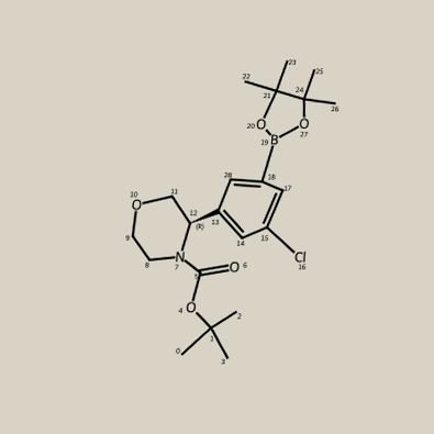 CC(C)(C)OC(=O)N1CCOC[C@H]1c1cc(Cl)cc(B2OC(C)(C)C(C)(C)O2)c1